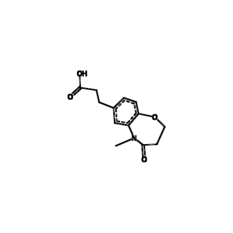 CN1C(=O)CCOc2ccc(CCC(=O)O)cc21